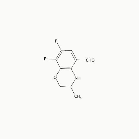 CC1COc2c(F)c(F)cc(C=O)c2N1